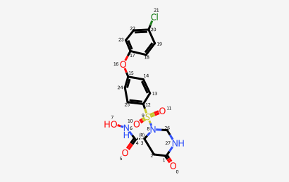 O=C1C[C@H](C(=O)NO)N(S(=O)(=O)c2ccc(Oc3ccc(Cl)cc3)cc2)CN1